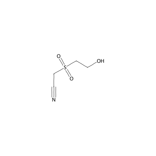 N#CCS(=O)(=O)CCO